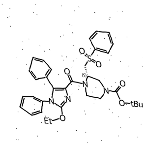 CCOc1nc(C(=O)N2CCN(C(=O)OC(C)(C)C)C[C@H]2CS(=O)(=O)c2ccccc2)c(-c2ccccc2)n1-c1ccccc1